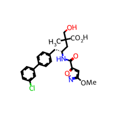 COc1cc(C(=O)N[C@H](Cc2ccc(-c3cccc(Cl)c3)cc2)CC(C)(CO)C(=O)O)on1